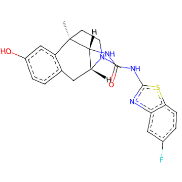 CN1CC[C@]2(C)c3cc(O)ccc3C[C@@H]1[C@H]2NC(=O)Nc1nc2cc(F)ccc2s1